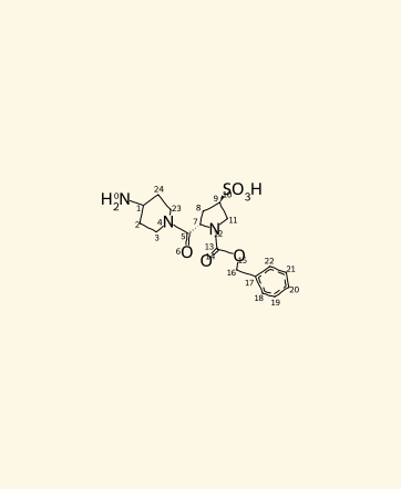 NC1CCN(C(=O)[C@@H]2C[C@@H](S(=O)(=O)O)CN2C(=O)OCc2ccccc2)CC1